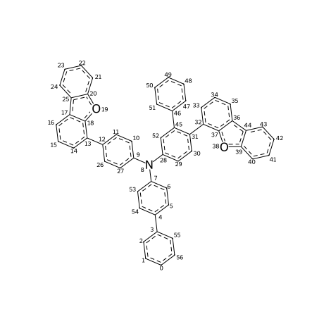 c1ccc(-c2ccc(N(c3ccc(-c4cccc5c4oc4ccccc45)cc3)c3ccc(-c4cccc5c4oc4ccccc45)c(-c4ccccc4)c3)cc2)cc1